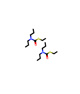 CCCN(CCC)C(=O)SCC.CCCN(CCC)C(=O)SCC